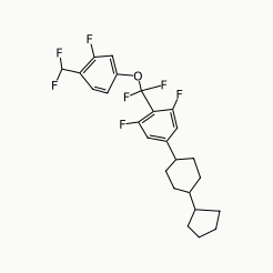 Fc1cc(OC(F)(F)c2c(F)cc(C3CCC(C4CCCC4)CC3)cc2F)ccc1C(F)F